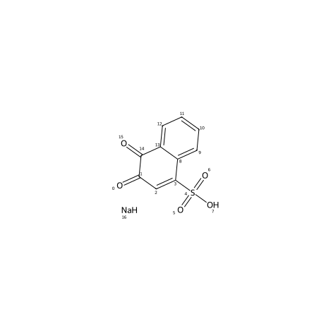 O=C1C=C(S(=O)(=O)O)c2ccccc2C1=O.[NaH]